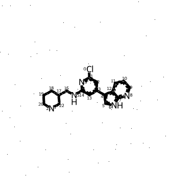 Clc1cc(-c2c[nH]c3ncccc23)cc(NCC2CCC[N]C2)n1